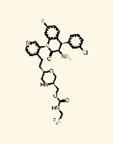 NC1C(=O)N(c2cnccc2CC[C@@H]2CN[C@H](COC(=O)NCC(F)(F)F)CO2)c2cc(F)ccc2[C@H]1c1cccc(Cl)c1